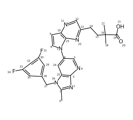 Cc1nc2ncc(-n3ccc4ncc(CCC(C)(C)C(=O)O)nc43)cc2n1Cc1cc(F)cc(F)c1